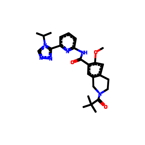 COc1cc2c(cc1C(=O)Nc1cccc(-c3nncn3C(C)C)n1)CN(C(=O)C(C)(C)C)CC2